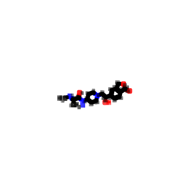 C/N=C(\C)C(=O)NC1CCN(C[C@H](O)c2ccc3c(c2)COC3=O)CC1